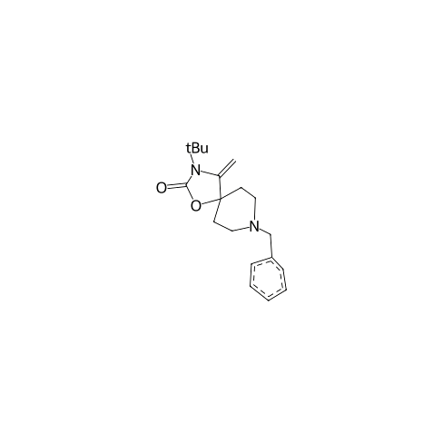 C=C1N(C(C)(C)C)C(=O)OC12CCN(Cc1ccccc1)CC2